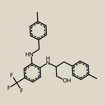 Cc1ccc(CNc2cc(C(F)(F)F)ccc2NC(CO)Cc2ccc(C)cc2)cc1